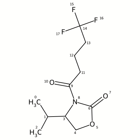 CC(C)C1COC(=O)N1C(=O)CCCC(F)(F)F